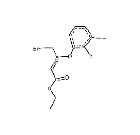 CCOC(=O)/C=C(/CBr)Oc1cccc(C)c1F